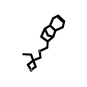 CCC1(COCC2CC3CC2C2CC=CCC32)COC1